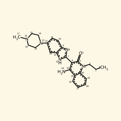 CCCn1c(=O)c(-c2nc3ccc(N4CCN(C)CC4)cc3[nH]2)c(N)c2ccccc21